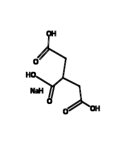 O=C(O)CC(CC(=O)O)C(=O)O.[NaH]